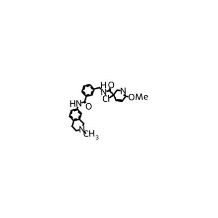 COC1=NCC(Cl)(C(=O)NCc2cccc(C(=O)Nc3ccc4c(c3)CN(C)CC4)c2)C=C1